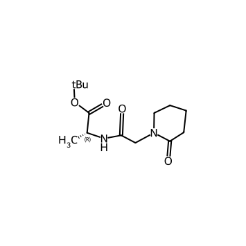 C[C@@H](NC(=O)CN1CCCCC1=O)C(=O)OC(C)(C)C